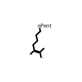 [CH2]C(C)=C(C)CCCCCCCCC